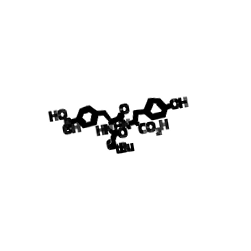 CC(C)(C)OC(=O)N[C@@H](Cc1ccc(B(O)O)cc1)C(=O)N[C@@H](Cc1ccc(O)cc1)C(=O)O